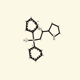 CS(CC(O)C1CCCN1)(c1ccccc1)c1ccccc1